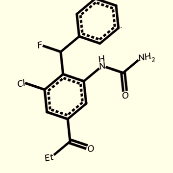 CCC(=O)c1cc(Cl)c(C(F)c2c[c]ccc2)c(NC(N)=O)c1